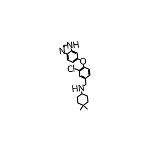 CC1(C)CCC(NCc2ccc(Oc3ccc4nc[nH]c4c3)c(Cl)c2)CC1